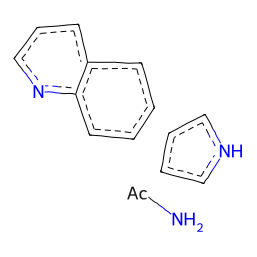 CC(N)=O.c1cc[nH]c1.c1ccc2ncccc2c1